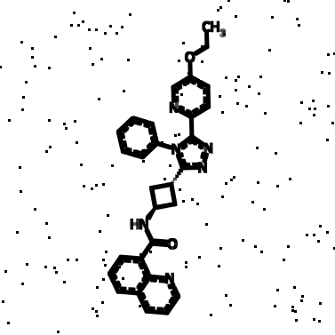 CCOc1ccc(-c2nnc([C@H]3C[C@H](NC(=O)c4cccc5cccnc45)C3)n2-c2ccccc2)nc1